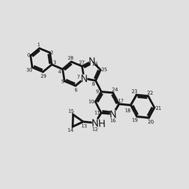 c1ccc(-c2ccn3c(-c4cc(NC5CC5)nc(-c5ccccc5)c4)cnc3c2)cc1